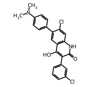 CN(C)c1ccc(-c2cc3c(O)c(-c4cccc(Cl)c4)c(=O)[nH]c3cc2Cl)cc1